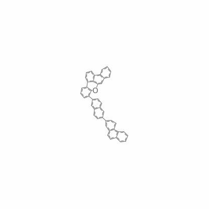 c1cc(-c2ccc3cc(-c4ccc5c(ccc6ccccc65)c4)ccc3c2)c2c(c1)-c1cccc3c1c(cc1ccccc13)O2